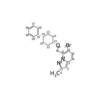 Cc1cc2ccc(Br)c(CO[C@H]3CC[C@@H](c4ccccc4)CC3)n2n1